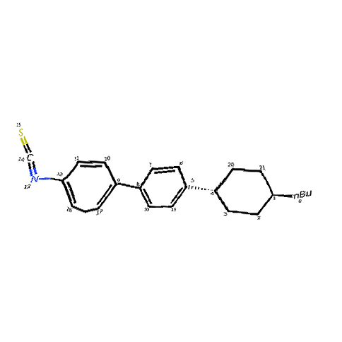 CCCC[C@H]1CC[C@H](c2ccc(-c3ccc(N=C=S)cc3)cc2)CC1